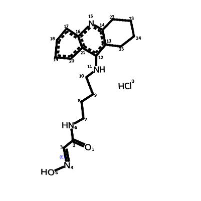 Cl.O=C(/C=N/O)NCCCCNc1c2c(nc3ccccc13)CCCC2